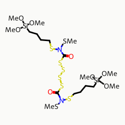 CO[Si](CCCCSN(SC)C(=O)SSSSC(=O)N(SC)SCCCC[Si](OC)(OC)OC)(OC)OC